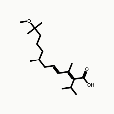 COC(C)(C)CCC[C@H](C)C/C=C/C(C)=C(/C(=O)O)C(C)C